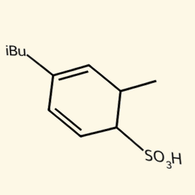 CCC(C)C1=CC(C)C(S(=O)(=O)O)C=C1